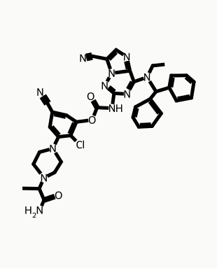 CCN(c1nc(NC(=O)Oc2cc(C#N)cc(N3CCN(C(C)C(N)=O)CC3)c2Cl)nn2c(C#N)cnc12)C(c1ccccc1)c1ccccc1